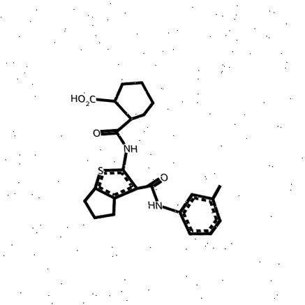 Cc1cccc(NC(=O)c2c(NC(=O)C3CCCCC3C(=O)O)sc3c2CCC3)c1